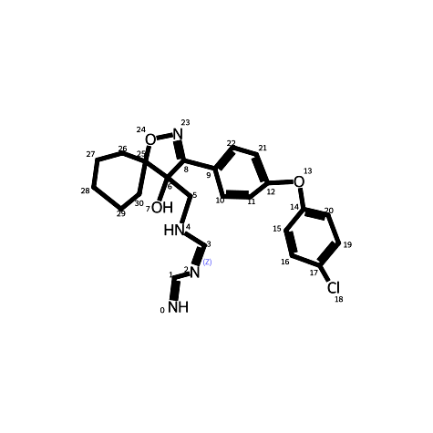 N=C/N=C\NCC1(O)C(c2ccc(Oc3ccc(Cl)cc3)cc2)=NOC12CCCCC2